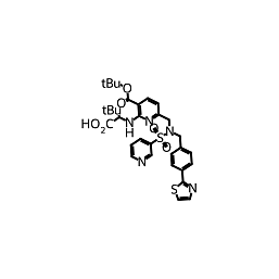 CC(C)(C)OC(=O)c1ccc(CN(Cc2ccc(-c3nccs3)cc2)S(=O)(=O)c2cccnc2)nc1NC(C(=O)O)C(C)(C)C